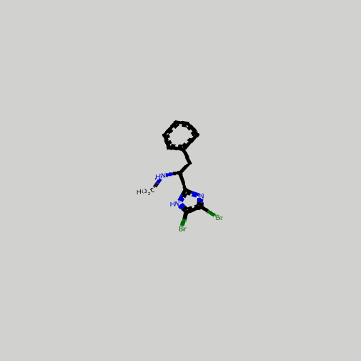 O=C(O)NC(Cc1ccccc1)c1nc(Br)c(Br)[nH]1